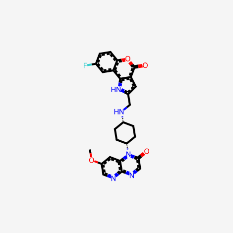 COc1cnc2ncc(=O)n([C@H]3CC[C@@H](NCc4cc5c(=O)oc6ccc(F)cc6c5[nH]4)CC3)c2c1